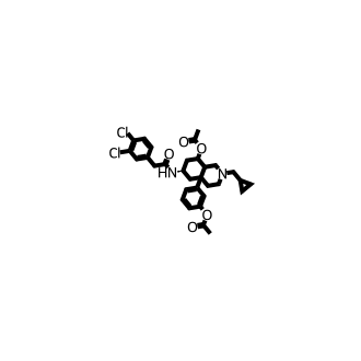 CC(=O)Oc1cccc(C23CCN(CC4CC4)CC2C(OC(C)=O)C[C@@H](NC(=O)Cc2ccc(Cl)c(Cl)c2)C3)c1